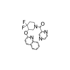 O=C(c1cnccn1)N1CCC(F)(F)C(Oc2ccc3ccccc3n2)C1